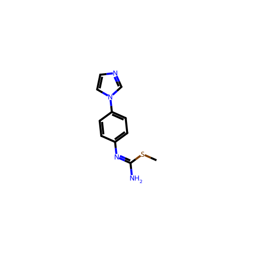 CS/C(N)=N\c1ccc(-n2ccnc2)cc1